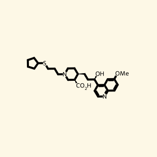 COc1ccc2nccc([C@H](O)CC[C@@H]3CCN(CCCSC4CCCC4)C[C@@H]3C(=O)O)c2c1